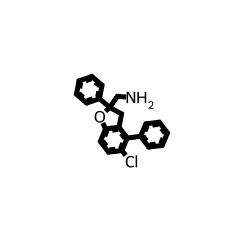 NCC1(c2ccccc2)Cc2c(ccc(Cl)c2-c2ccccc2)O1